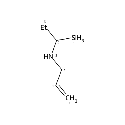 C=CCNC([SiH3])CC